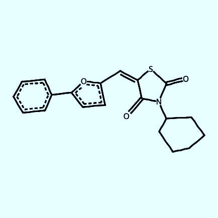 O=C1SC(=Cc2ccc(-c3ccccc3)o2)C(=O)N1C1CCCCC1